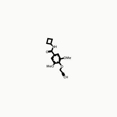 C#CCOc1c(OC)cc(C(=O)NC2CCC2)cc1OC